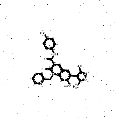 COc1cc2c(cc1-c1c(C)noc1C)cc(C(=O)Nc1ccc(C(F)(F)F)cc1)c(=O)n2Cc1ccccn1